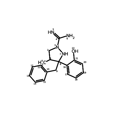 CC1CN(C(=N)N)NC1(Cc1ccccc1)c1ccccc1O